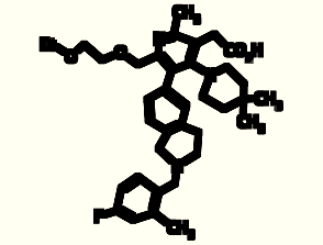 CCOCCOCc1nc(C)c(CC(=O)O)c(N2CCC(C)(C)CC2)c1-c1ccc2c(c1)CCN(Cc1ccc(F)cc1C)C2